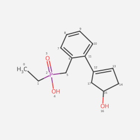 CCP(=O)(O)Cc1ccccc1C1=CCC(O)C1